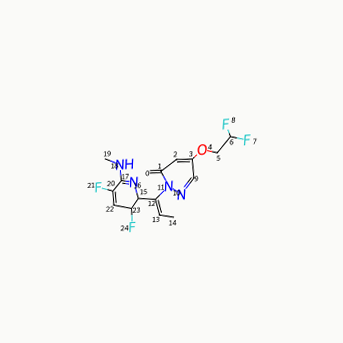 C=C1C=C(OCC(F)F)C=NN1/C(=C\C)C1N=C(NC)C(F)=CC1F